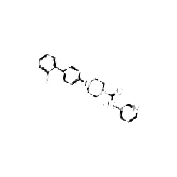 O=C(Nc1cccnc1)N1CCN(c2ccc(-c3ccccc3F)cc2)CC1